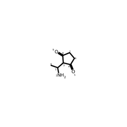 CC(N)[C]1C(=O)CCC1=O